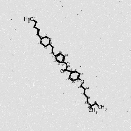 CCCC=CC1CCC(CCc2ccc(OC(=O)c3ccc(OCCCCCC(C)CC)cc3)cc2)CC1